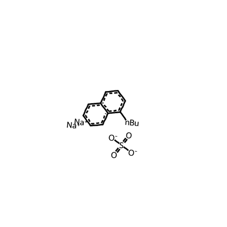 CCCCc1cccc2ccccc12.O=S(=O)([O-])[O-].[Na+].[Na+]